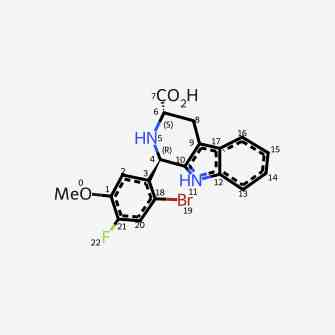 COc1cc([C@H]2N[C@H](C(=O)O)Cc3c2[nH]c2ccccc32)c(Br)cc1F